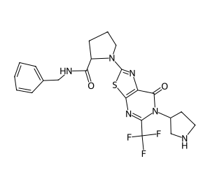 O=C(NCc1ccccc1)C1CCCN1c1nc2c(=O)n(C3CCNC3)c(C(F)(F)F)nc2s1